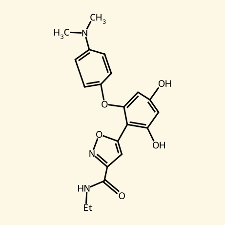 CCNC(=O)c1cc(-c2c(O)cc(O)cc2Oc2ccc(N(C)C)cc2)on1